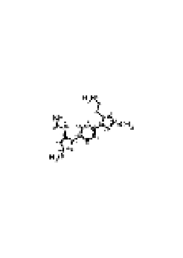 Cc1cc(CCN)c(-c2ccc(-c3sc(C)cc3CCN)cc2)s1